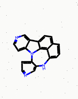 c1cc2ccc3c4cnccc4n4c5ccncc5[nH]c(c1)c2c34